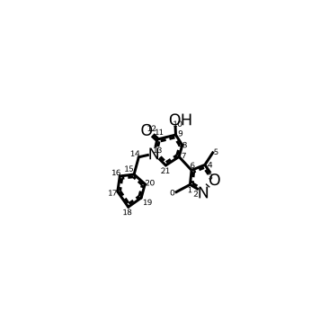 Cc1noc(C)c1-c1cc(O)c(=O)n(Cc2ccccc2)c1